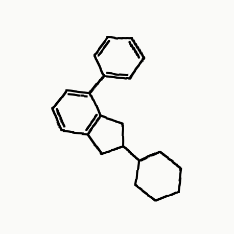 c1ccc(-c2cccc3c2CC(C2CCCCC2)C3)cc1